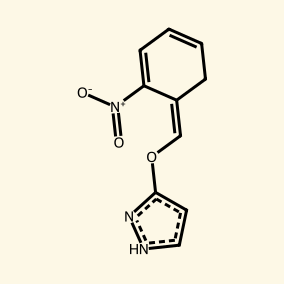 O=[N+]([O-])C1=CC=CCC1=COc1cc[nH]n1